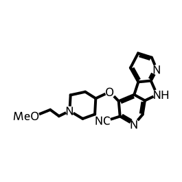 COCCN1CCC(Oc2c(C#N)ncc3[nH]c4ncccc4c23)CC1